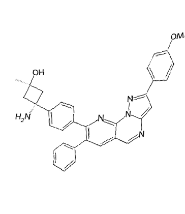 COc1ccc(-c2cc3ncc4cc(-c5ccccc5)c(-c5ccc([C@]6(N)C[C@](C)(O)C6)cc5)nc4n3n2)cc1